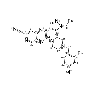 N#Cc1cc2nc(-c3cnn(CF)c3)c(N3CCN(Cc4ccc(F)cc4F)CC3)nc2cn1